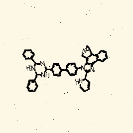 C1=CNC(c2nc3c4ccccc4c4c(c3n2-c2ccc(-c3ccc(C5N=C(c6ccccc6)NC(c6ccccc6)N5)cc3)cc2)CN2CC42)C=C1